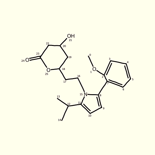 COc1ccccc1-c1ccc(C(C)C)n1CCC1CC(O)CC(=O)O1